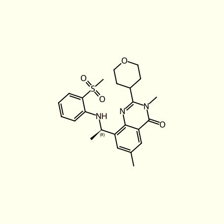 Cc1cc([C@@H](C)Nc2ccccc2S(C)(=O)=O)c2nc(C3CCOCC3)n(C)c(=O)c2c1